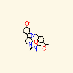 C=C(N1CCc2c(n(Cc3ccc(C(C)=O)cc3)c3c2=CCC(OC)C=3)C1)N(C)C(C)=O